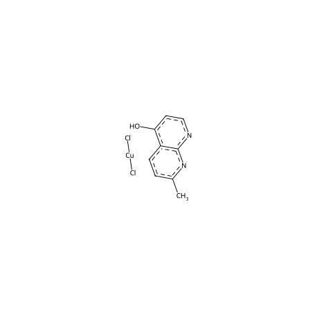 Cc1ccc2c(O)ccnc2n1.[Cl][Cu][Cl]